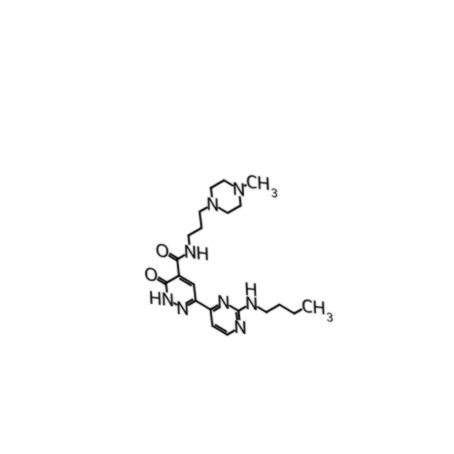 CCCCNc1nccc(-c2cc(C(=O)NCCCN3CCN(C)CC3)c(=O)[nH]n2)n1